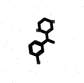 CC(c1cccc(Cl)c1)C1CNCCN1